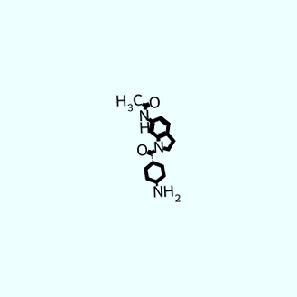 CC(=O)Nc1ccc2c(c1)N(C(=O)[C@H]1CC[C@H](N)CC1)CC2